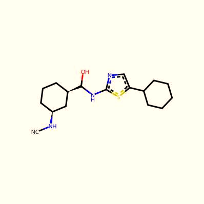 N#CN[C@H]1CCC[C@@H](C(O)Nc2ncc(C3CCCCC3)s2)C1